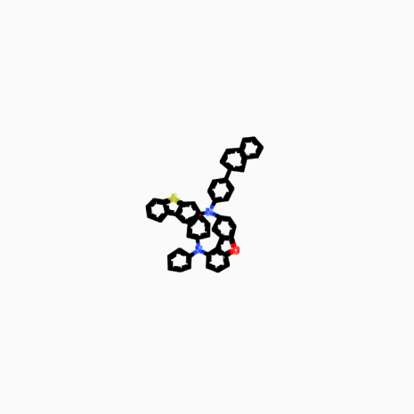 c1ccc(N(c2ccccc2)c2cccc3oc4ccc(N(c5ccc(-c6ccc7ccccc7c6)cc5)c5ccc6c(c5)sc5ccccc56)cc4c23)cc1